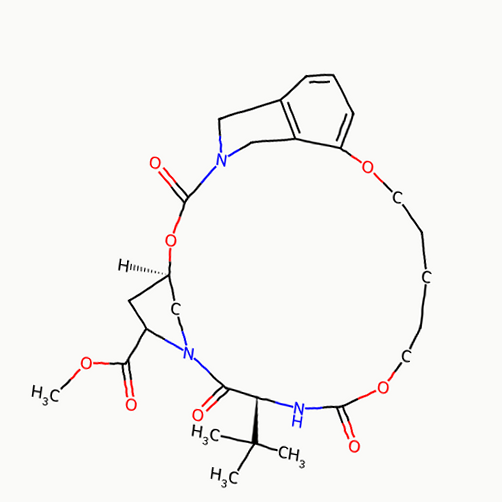 COC(=O)C1C[C@@H]2CN1C(=O)[C@H](C(C)(C)C)NC(=O)OCCCCCOc1cccc3c1CN(C3)C(=O)O2